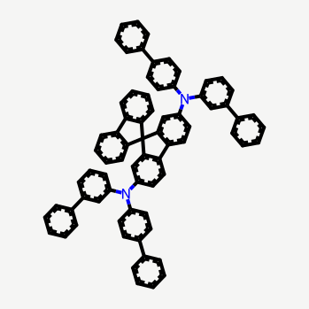 c1ccc(-c2ccc(N(c3cccc(-c4ccccc4)c3)c3ccc4c(c3)C3(c5ccccc5-c5ccccc53)c3cc(N(c5ccc(-c6ccccc6)cc5)c5cccc(-c6ccccc6)c5)ccc3-4)cc2)cc1